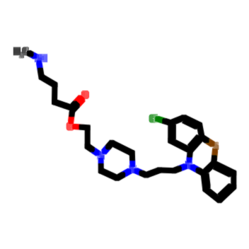 CNCCCC(=O)OCCN1CCN(CCCN2c3ccccc3Sc3ccc(Cl)cc32)CC1